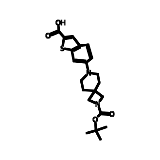 CC(C)(C)OC(=O)N1CC2(CCN(c3ccc4cc(C(=O)O)sc4c3)CC2)C1